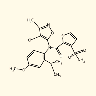 COc1ccc(N(C(=O)c2sccc2S(N)(=O)=O)c2onc(C)c2Cl)c(C(C)C)c1